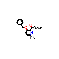 COC(=O)c1nc(C#N)ccc1OCc1ccccc1